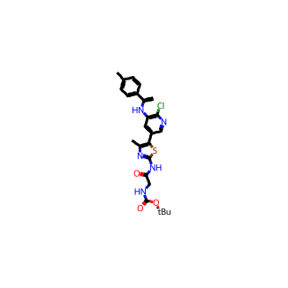 C=C(Nc1cc(-c2sc(NC(=O)CNC(=O)OC(C)(C)C)nc2C)cnc1Cl)c1ccc(C)cc1